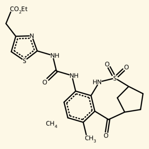 C.CCOC(=O)Cc1csc(NC(=O)Nc2ccc(C)c3c2NS(=O)(=O)C2CCC(C2)C3=O)n1